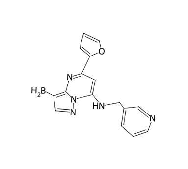 Bc1cnn2c(NCc3cccnc3)cc(-c3ccco3)nc12